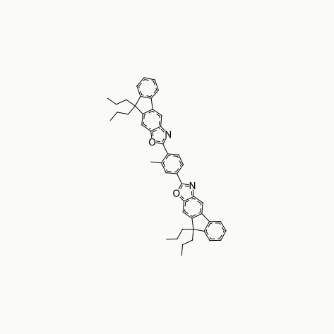 CCCC1(CCC)c2ccccc2-c2cc3nc(-c4ccc(-c5nc6cc7c(cc6o5)C(CCC)(CCC)c5ccccc5-7)c(C)c4)oc3cc21